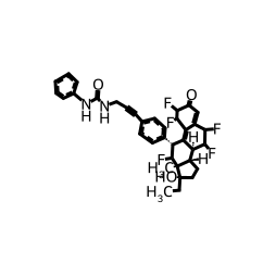 CC[C@]1(O)CC[C@H]2[C@H]3C(=C4C(=CC(=O)C(F)C4F)C(F)C3F)[C@@H](c3ccc(C#CCNC(=O)Nc4ccccc4)cc3)C(F)[C@@]21C